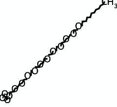 CCCCCCCCCCCCOCCOCCOCCOCCOCCOCCOCCOCCOCCOCCOCCOS(=O)(=O)O